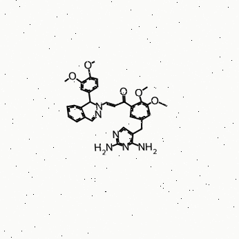 COc1ccc(C2c3ccccc3C=NN2/C=C/C(=O)c2cc(Cc3cnc(N)nc3N)cc(OC)c2OC)cc1OC